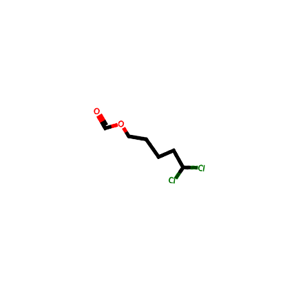 O=[C]OCCCCC(Cl)Cl